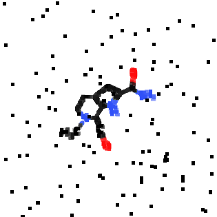 CN1C=Cc2cc(C(N)=O)[nH]c2C1=C=O